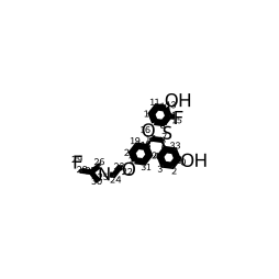 Oc1cccc([C@@H]2Sc3c(ccc(O)c3F)O[C@@H]2c2ccc(OCCN3CC(CF)C3)cc2)c1